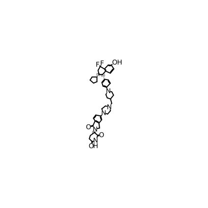 O=C1CC[C@H](N2Cc3cc(N4CCN(CC5CCN(c6ccc([C@H]7c8ccc(O)cc8C(F)(F)C[C@H]7C7CCCC7)cc6)CC5)CC4)ccc3C2=O)C(=O)N1